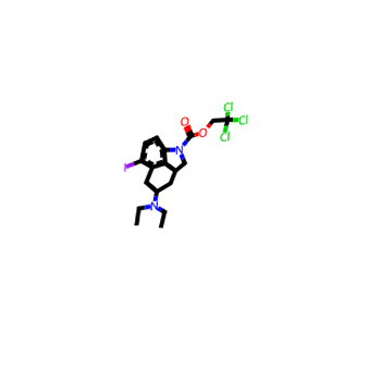 CCN(CC)C1Cc2c(I)ccc3c2C(C1)CN3C(=O)OCC(Cl)(Cl)Cl